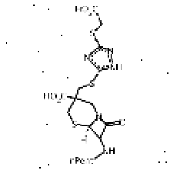 CCCCCNC1C(=O)N2CC(CSc3nc(SCC(=O)O)n[nH]3)(C(=O)O)CS[C@H]12